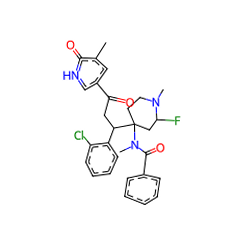 Cc1cc(C(=O)CC(c2ccccc2Cl)C2(N(C)C(=O)c3ccccc3)CCN(C)C(F)C2)c[nH]c1=O